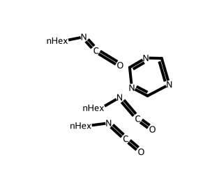 CCCCCCN=C=O.CCCCCCN=C=O.CCCCCCN=C=O.c1ncncn1